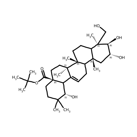 CC(C)(C)OC(=O)[C@]12CCC(C)(C)[C@@H](O)C1C1=CCC3[C@@]4(C)C[C@@H](O)[C@H](O)[C@](C)(CO)C4CC[C@@]3(C)[C@]1(C)CC2